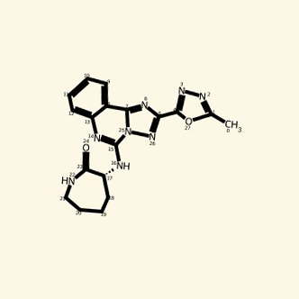 Cc1nnc(-c2nc3c4ccccc4nc(N[C@@H]4CCCCNC4=O)n3n2)o1